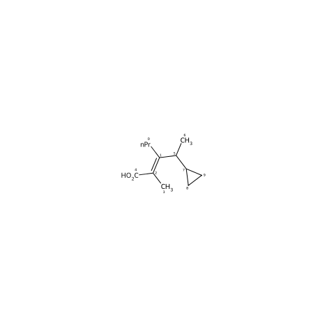 CCCC(=C(C)C(=O)O)C(C)C1CC1